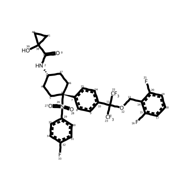 O=C(N[C@H]1CC[C@@](c2ccc(C(OCc3c(F)cccc3F)(C(F)(F)F)C(F)(F)F)cc2)(S(=O)(=O)c2ccc(F)cc2)CC1)C1(O)CC1